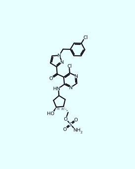 NS(=O)(=O)OC[C@H]1CC(Nc2ncnc(Cl)c2C(=O)c2ccn(Cc3cccc(Cl)c3)n2)C[C@@H]1O